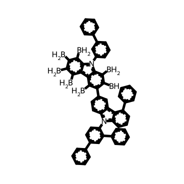 Bc1c(B)c(B)c2c(c1B)c1c(B)c(-c3ccc4c(c3)c3c(-c5ccccc5)cccc3n4-c3ccc(-c4ccccc4)cc3-c3ccccc3)c(B)c(B)c1n2-c1cccc(-c2ccccc2)c1